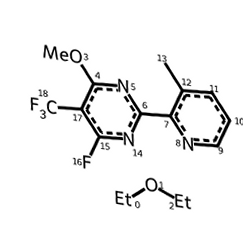 CCOCC.COc1nc(-c2ncccc2C)nc(F)c1C(F)(F)F